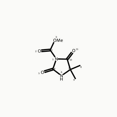 COC(=O)N1C(=O)NC(C)(C)C1=O